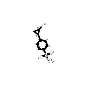 NS(=O)(=O)c1ccc(C2CC2F)cc1